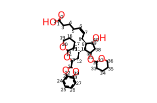 O=C(O)CCC/C=C\C[C@@H]1[C@@H](CC[C@H](OC2CCCCO2)C2Oc3ccccc3O2)[C@H](OC2CCCCO2)C[C@@H]1O